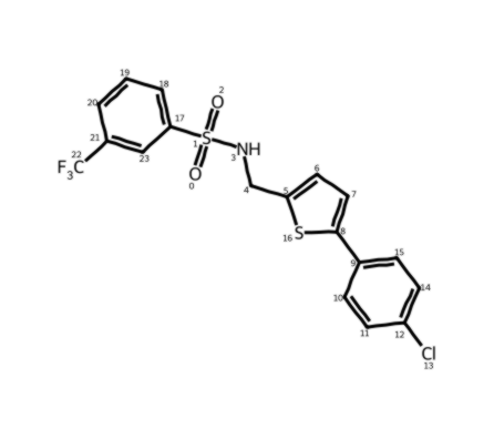 O=S(=O)(NCc1ccc(-c2ccc(Cl)cc2)s1)c1cccc(C(F)(F)F)c1